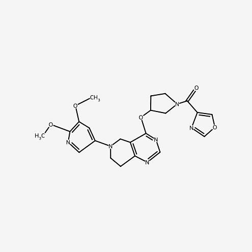 COc1cc(N2CCc3ncnc(OC4CCN(C(=O)c5cocn5)C4)c3C2)cnc1OC